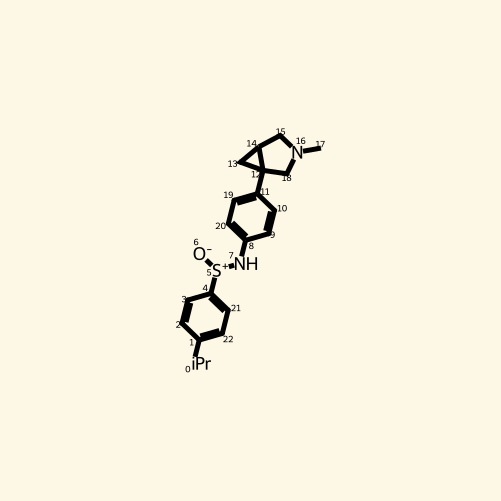 CC(C)c1ccc([S+]([O-])Nc2ccc(C34CC3CN(C)C4)cc2)cc1